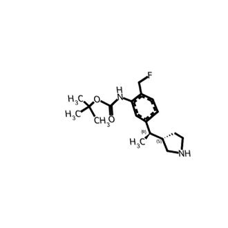 C[C@@H](c1ccc(CF)c(NC(=O)OC(C)(C)C)c1)[C@@H]1CCNC1